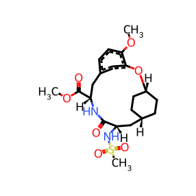 COC(=O)[C@@H]1Cc2ccc(OC)c(c2)O[C@H]2CC[C@H](CC2)C[C@H](NS(C)(=O)=O)C(=O)N1